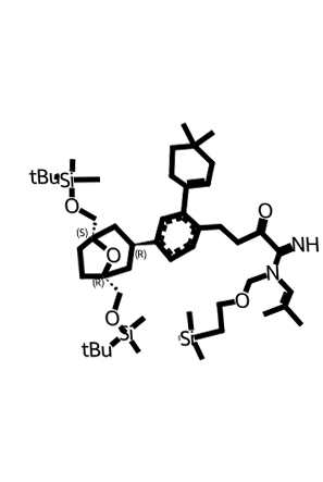 CC(C)=CN(COCC[Si](C)(C)C)C(=N)C(=O)CCc1ccc([C@H]2C[C@@]3(CO[Si](C)(C)C(C)(C)C)CC[C@@](CO[Si](C)(C)C(C)(C)C)(C2)O3)cc1C1=CCC(C)(C)CC1